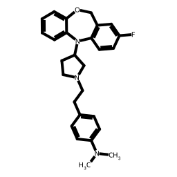 CN(C)c1ccc(CCN2CCC(N3c4ccc(F)cc4COc4ccccc43)C2)cc1